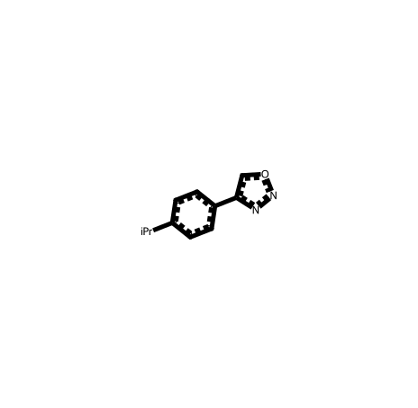 CC(C)c1ccc(-c2conn2)cc1